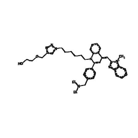 CCN(CC)Cc1ccc(C2=C/C(=C\c3sc4ccccc4[n+]3C)c3ccccc3N2CCCCCCn2cc(COCCO)nn2)cc1